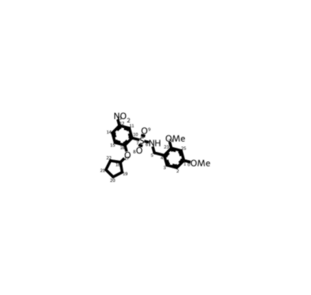 COc1ccc(CNS(=O)(=O)c2cc([N+](=O)[O-])ccc2OC2CCCC2)c(OC)c1